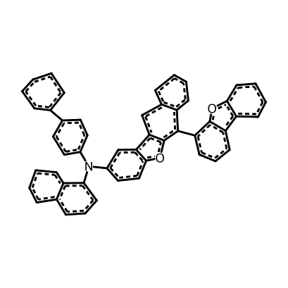 c1ccc(-c2ccc(N(c3ccc4oc5c(-c6cccc7c6oc6ccccc67)c6ccccc6cc5c4c3)c3cccc4ccccc34)cc2)cc1